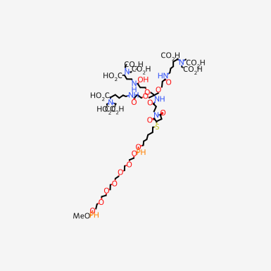 COPOCCOCCOCCOCCOCCOCCOPOCCCCCCSC1CC(=O)N(CCC(=O)NC(COCCC(=O)NCCCCC(C(=O)O)N(CC(=O)O)CC(=O)O)(COCCC(=O)NCCCCC(C(=O)O)N(CC(=O)O)CC(=O)O)COCCC(O)NCCC(C(=O)O)N(CC(=O)O)CC(=O)O)C1=O